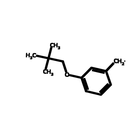 [CH2]c1cccc(OCC(C)(C)C)c1